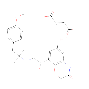 COc1ccc(CC(C)(C)NC[C@H](O)c2cc(O)cc3c2OCC(=O)N3)cc1.O=C(O)C=CC(=O)O